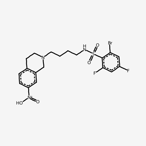 O=[N+](O)c1ccc2c(c1)CN(CCCCNS(=O)(=O)c1c(F)cc(F)cc1Br)CC2